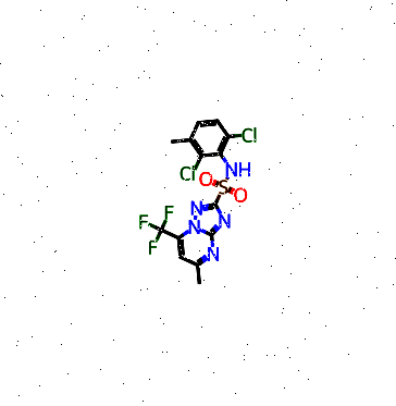 Cc1cc(C(F)(F)F)n2nc(S(=O)(=O)Nc3c(Cl)ccc(C)c3Cl)nc2n1